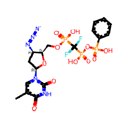 Cc1cn([C@H]2C[C@@H](N=[N+]=[N-])[C@@H](COP(=O)(O)C(F)(F)P(=O)(O)OP(=O)(O)c3ccccc3)O2)c(=O)[nH]c1=O